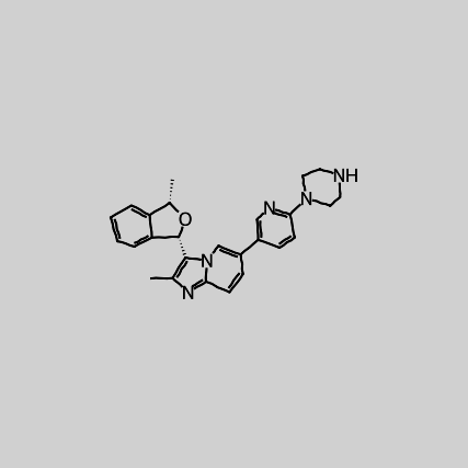 Cc1nc2ccc(-c3ccc(N4CCNCC4)nc3)cn2c1[C@H]1O[C@@H](C)c2ccccc21